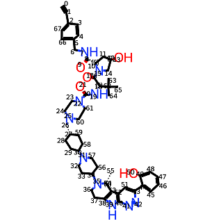 C#Cc1ccc(CNC(=O)[C@@H]2C[C@@H](O)CN2C(=O)[C@@H](NC(=O)N2CCN(C[C@H]3CC[C@@H](N4CCC(N5CCc6[nH]c7nnc(-c8ccccc8O)cc7c6[C@H]5C)CC4)CC3)CC2)C(C)(C)C)cc1